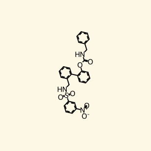 O=C(NCc1ccccc1)Oc1ccccc1-c1ccccc1CNS(=O)(=O)c1cccc([N+](=O)[O-])c1